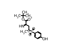 C[C@@H](CC(=N)C(=O)OC(C)(C)C)S(=O)(=O)c1ccc(O)cc1